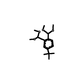 COC(OC)c1ccc(C(C)(C)C)cc1C(OC)OC